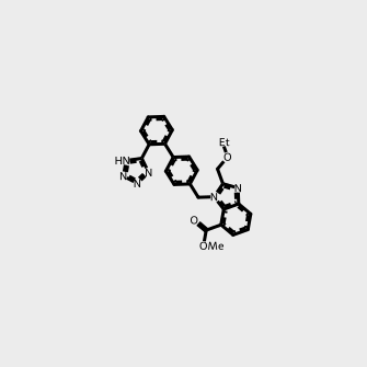 CCOCc1nc2cccc(C(=O)OC)c2n1Cc1ccc(-c2ccccc2-c2nnn[nH]2)cc1